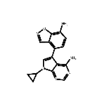 Nc1ccc(-c2cn(C3CC3)c3ncnc(N)c23)c2cnoc12